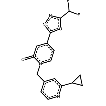 O=c1cc(-c2nnc(C(F)F)o2)ccn1Cc1ccnc(C2CC2)c1